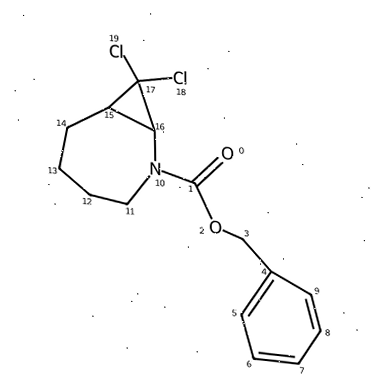 O=C(OCc1ccccc1)N1CCCCC2C1C2(Cl)Cl